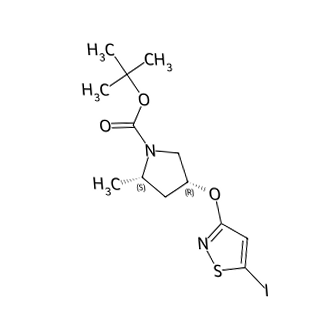 C[C@H]1C[C@@H](Oc2cc(I)sn2)CN1C(=O)OC(C)(C)C